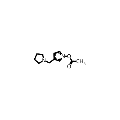 CC(=O)On1ccc(CN2CCCC2)c1